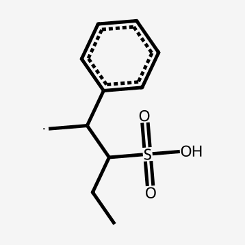 [CH2]C(c1ccccc1)C(CC)S(=O)(=O)O